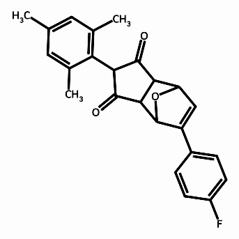 Cc1cc(C)c(C2C(=O)C3C4C=C(c5ccc(F)cc5)C(O4)C3C2=O)c(C)c1